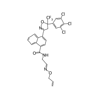 C=CCO/N=C/CNC(=O)c1ccc(C2=NOC(c3cc(Cl)c(Cl)c(Cl)c3)(C(F)(F)F)C2)c2ccccc12